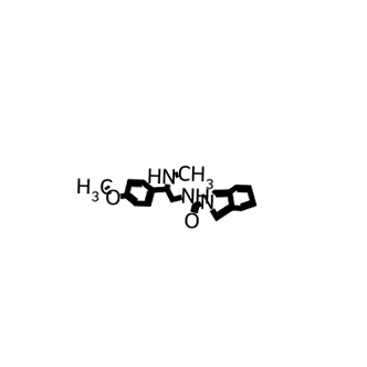 CNC(CNC(=O)n1cc2ccccc2c1)c1ccc(OC)cc1